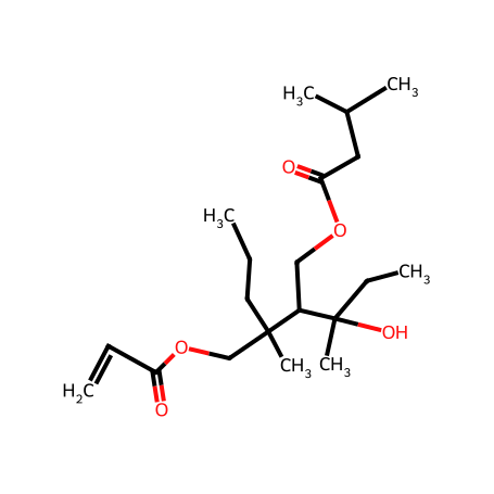 C=CC(=O)OCC(C)(CCC)C(COC(=O)CC(C)C)C(C)(O)CC